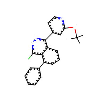 CC(C)(C)Oc1cc(-c2nnc(Cl)c3c(-c4ccccc4)cccc23)ccn1